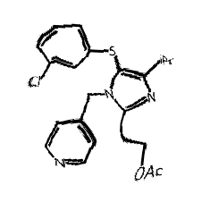 CC(=O)OCCc1nc(C(C)C)c(Sc2cccc(Cl)c2)n1Cc1ccncc1